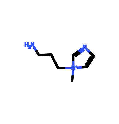 C[N+]1(CCCN)C=CN=C1